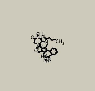 CCCCc1nc2c(n1Cc1c3ccocc-3c(Br)c1-c1ccccc1-c1nnn[nH]1)C(=O)NCC(=O)N2C